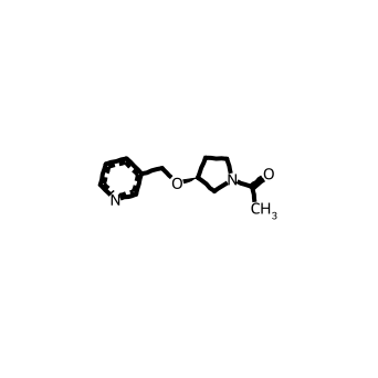 CC(=O)N1CC[C@H](OCc2cccnc2)C1